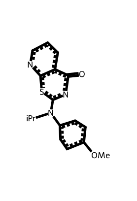 COc1ccc(N(c2nc(=O)c3cccnc3s2)C(C)C)cc1